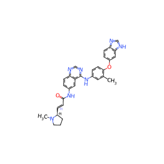 Cc1cc(Nc2ncnc3ccc(NC(=O)/C=C/[C@H]4CCCN4C)cc23)ccc1Oc1ccc2nc[nH]c2c1